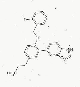 O=C(O)CCc1ccc(OCc2ccccc2F)c(-c2ccc3[nH]ccc3c2)c1